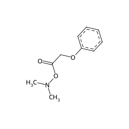 CN(C)OC(=O)COc1ccccc1